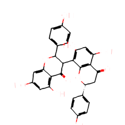 O=C1C[C@@H](c2ccc(O)cc2)Oc2c1c(O)cc(O)c2C1C(=O)c2c(O)cc(O)cc2OC1c1ccc(O)cc1